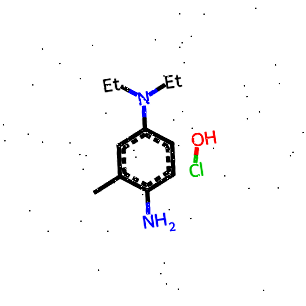 CCN(CC)c1ccc(N)c(C)c1.OCl